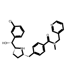 CN(Cc1cccnc1)C(=O)c1ccc(C[C@@H]2CC[C@H]([C@H](O)c3cccc(Cl)c3)N2)cc1